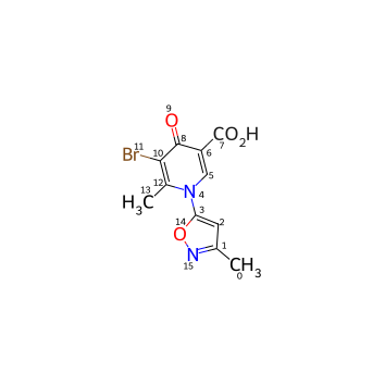 Cc1cc(-n2cc(C(=O)O)c(=O)c(Br)c2C)on1